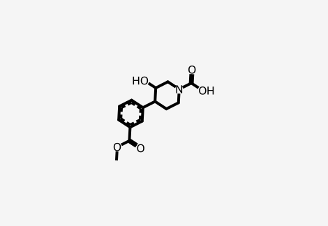 COC(=O)c1cccc(C2CCN(C(=O)O)CC2O)c1